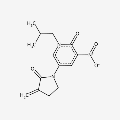 C=C1CCN(c2cc([N+](=O)[O-])c(=O)n(CC(C)C)c2)C1=O